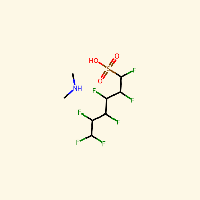 CNC.O=S(=O)(O)C(F)C(F)C(F)C(F)C(F)C(F)F